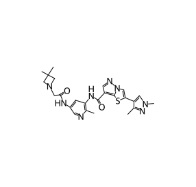 Cc1ncc(NC(=O)CN2CC(C)(C)C2)cc1NC(=O)c1cnn2cc(-c3cn(C)nc3C)sc12